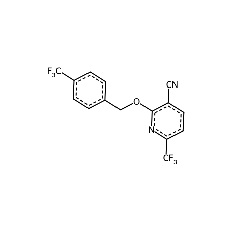 N#Cc1ccc(C(F)(F)F)nc1OCc1ccc(C(F)(F)F)cc1